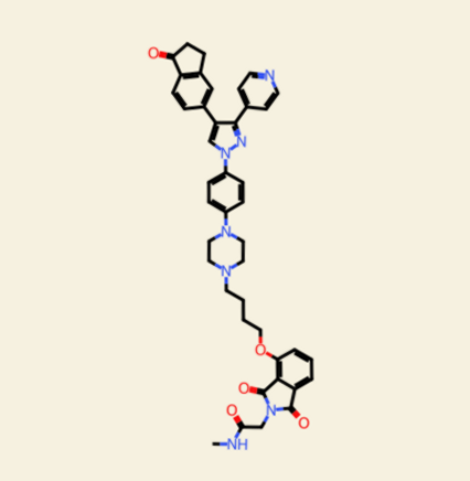 CNC(=O)CN1C(=O)c2cccc(OCCCCN3CCN(c4ccc(-n5cc(-c6ccc7c(c6)CCC7=O)c(-c6ccncc6)n5)cc4)CC3)c2C1=O